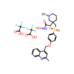 Cc1cc(COc2ccc(S(=O)(=O)CC3(CC(=O)NO)CCCN(C(C)C)C3)cc2)c2ccccc2n1.O=C(O)C(F)(F)F.O=C(O)C(F)(F)F